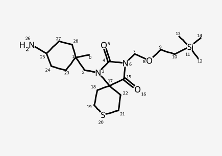 CC1(CN2C(=O)N(COCC[Si](C)(C)C)C(=O)C23CCSCC3)CCC(N)CC1